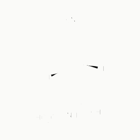 C[C@@]1(NC(=O)O)C[C@H]2CC(C#N)C[C@H]2C1